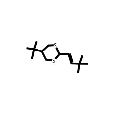 CC(C)(C)/C=C/C1SCC(C(C)(C)C)CS1